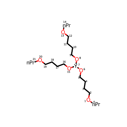 CCCOCCCC[O][Y]([O]CCCCOCCC)[O]CCCCOCCC